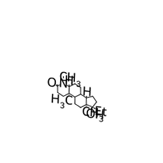 CC[C@]1(O)CC[C@H]2C3CC[C@H]4N(C)C(=O)CC[C@]4(C)C3CC[C@@]21C